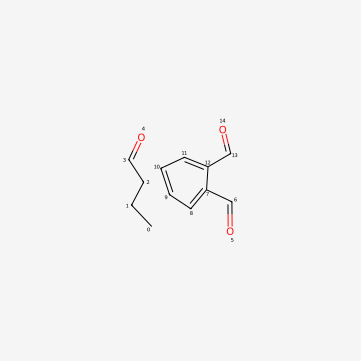 CCCC=O.O=Cc1ccccc1C=O